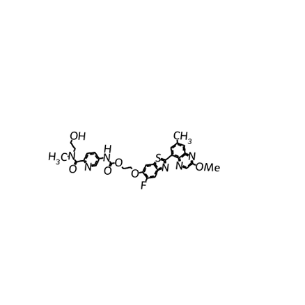 COc1cnc2c(-c3nc4cc(F)c(OCCOC(=O)Nc5ccc(C(=O)N(C)CCO)nc5)cc4s3)cc(C)cc2n1